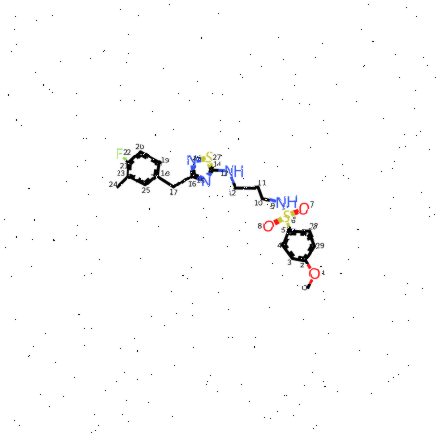 COc1ccc(S(=O)(=O)NCCCNc2nc(Cc3ccc(F)c(C)c3)ns2)cc1